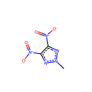 Cn1nc([N+](=O)[O-])c([N+](=O)[O-])n1